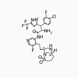 Cn1nc(C(F)(F)F)cc1C(c1ccc(Cl)c(F)c1)C(N)C(=O)Nc1cncc(F)c1CC[C@H]1CN[C@@H]2CCCS(=O)(=O)N1C2